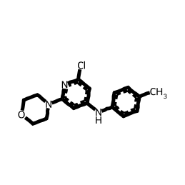 Cc1ccc(Nc2cc(Cl)nc(N3CCOCC3)c2)cc1